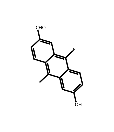 Cc1c2cc(O)ccc2c(F)c2cc(C=O)ccc12